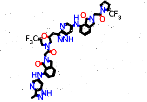 Cc1n[nH]c2cc(Nc3cccc4c3C(=O)N(CC(=O)N3CC(Cc5n[nH]c6cc(Nc7cccc8c7C(=O)N(CC(=O)N7CCC[C@H]7C(F)(F)F)C8)cnc56)O[C@H](C(F)(F)F)C3)C4)cnc12